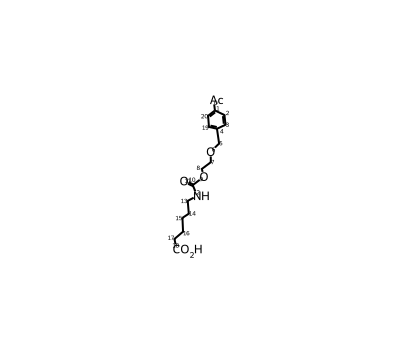 CC(=O)c1ccc(COCCOC(=O)NCCCCCC(=O)O)cc1